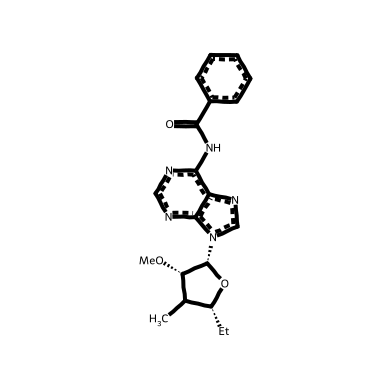 CC[C@H]1O[C@@H](n2cnc3c(NC(=O)c4ccccc4)ncnc32)[C@@H](OC)C1C